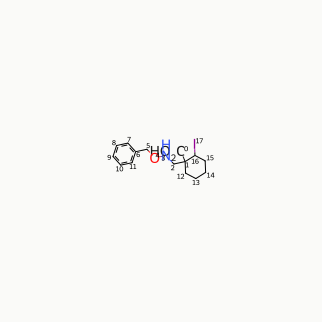 O=C(O)C1(CNOCc2ccccc2)CCCCC1I